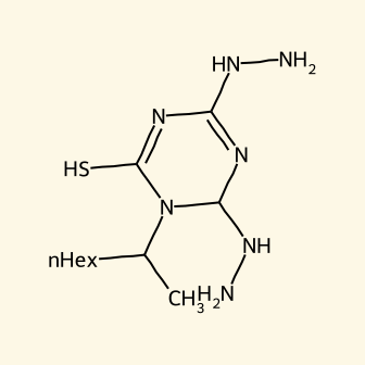 CCCCCCC(C)N1C(S)=NC(NN)=NC1NN